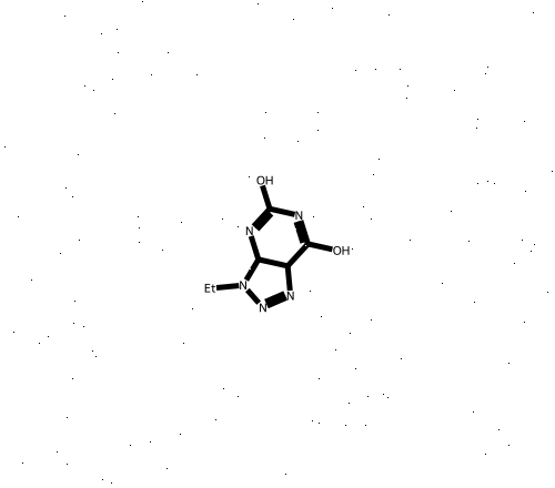 CCN1N=NC2C(O)=NC(O)=NC21